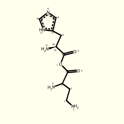 NCCC(N)C(=O)OC(=O)[C@@H](N)Cc1cnc[nH]1